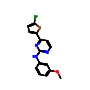 COc1cccc(Nc2nccc(-c3ccc(Br)s3)n2)c1